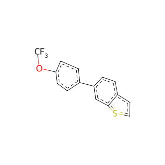 FC(F)(F)Oc1ccc(-c2ccc3ccsc3c2)cc1